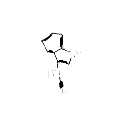 N#CNc1c[nH]c2ccccc12